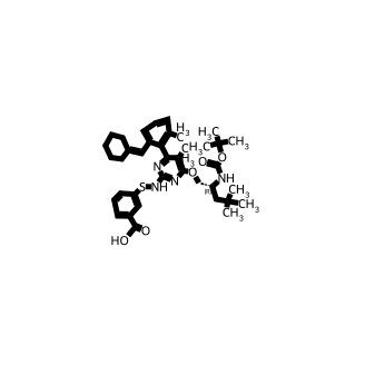 Cc1cccc(C=C2CCCCC2)c1-c1nc(NSc2cccc(C(=O)O)c2)nc(OC[C@@H](CC(C)(C)C)NC(=O)OC(C)(C)C)c1C